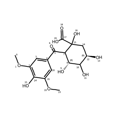 COc1cc(C(=O)C2[C@@H](O)C(O)[C@H](O)CC2(O)C(=O)O)cc(OC)c1O